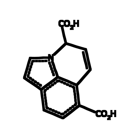 O=C(O)c1ccc2ccn3c2c1C=CC3C(=O)O